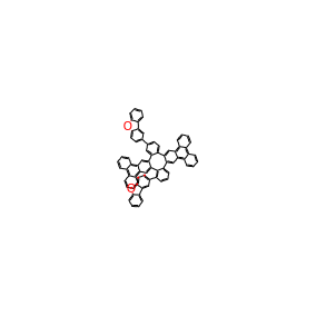 c1cc(-c2ccc3oc4ccccc4c3c2)c2c(c1)-c1cc3c4ccccc4c4ccccc4c3cc1-c1ccc(-c3ccc4oc5ccccc5c4c3)cc1-c1cc3c4ccccc4c4ccccc4c3cc1-2